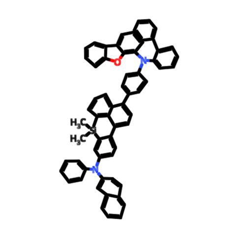 C[Si]1(C)c2cc(N(c3ccccc3)c3ccc4ccccc4c3)ccc2-c2ccc(-c3ccc(N(c4ccccc4-c4ccccc4)c4cccc5c4oc4ccccc45)cc3)c3cccc1c23